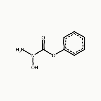 NN(O)C(=O)Oc1ccccc1